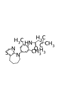 Cc1cc(N2CCCCc3scnc32)cc(C)c1NC(=O)CC(C)(C)C